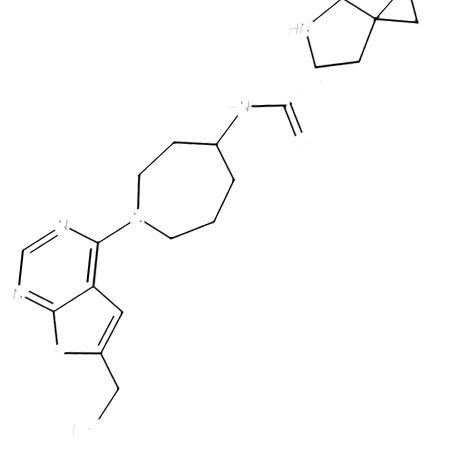 O=C(NC1CCCN(c2ncnc3sc(CC(F)(F)F)cc23)CC1)[C@H]1CC2(CC2)CN1